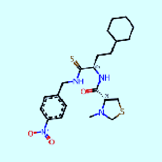 CN1CSC[C@H]1C(=O)N[C@H](CCC1CCCCC1)C(=S)NCc1ccc([N+](=O)[O-])cc1